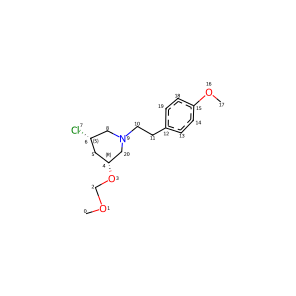 COCO[C@@H]1C[C@H](Cl)CN(CCc2ccc(OC)cc2)C1